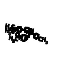 CC(=O)N1CCCN(Cc2c(-c3ccc(C)cc3)nc3ccc(-c4ccc(N(C)C)cc4)cn23)CC1